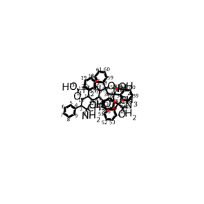 CC(N)C(c1ccccc1)C(OCO)C(c1ccccc1)C(O)C(c1ccccc1)C(N)C(CC(N)(c1ccccc1)C(O)C(C)(C(N)=O)c1ccccc1)(OCO)c1ccccc1